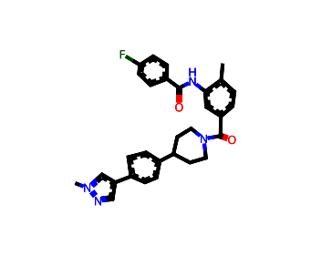 Cc1ccc(C(=O)N2CCC(c3ccc(-c4cnn(C)c4)cc3)CC2)cc1NC(=O)c1ccc(F)cc1